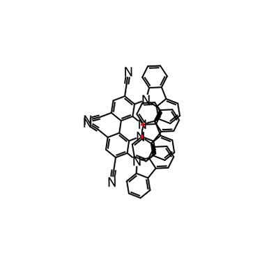 N#Cc1cc(C#N)c(-n2c3ccccc3c3ccccc32)c(-n2c3ccccc3c3ccccc32)c1-c1c(C#N)cc(C#N)c(-n2c3ccccc3c3ccccc32)c1-n1c2ccccc2c2ccccc21